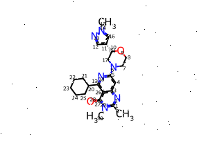 Cc1nc2cc(N3CCO[C@@H](c4cnn(C)c4)C3)nc(C3CCCCC3)c2c(=O)n1C